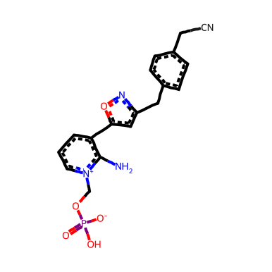 N#CCc1ccc(Cc2cc(-c3ccc[n+](COP(=O)([O-])O)c3N)on2)cc1